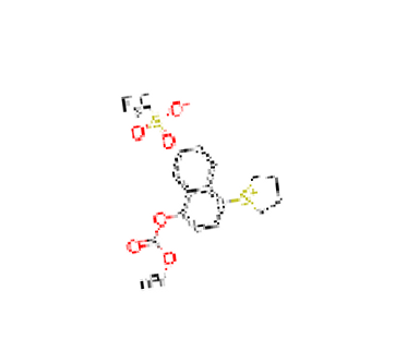 CCCOC(=O)Oc1ccc([S+]2CCCC2)c2ccccc12.O=S(=O)([O-])C(F)(F)F